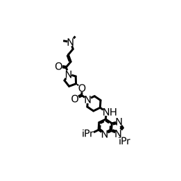 CC(C)c1cc(NC2CCN(C(=O)O[C@H]3CCN(C(=O)/C=C/CN(C)C)C3)CC2)c2ncn(C(C)C)c2n1